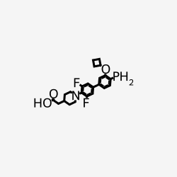 O=C(O)CC1CCN(c2c(F)cc(-c3ccc(P)c(OC4CCC4)c3)cc2F)CC1